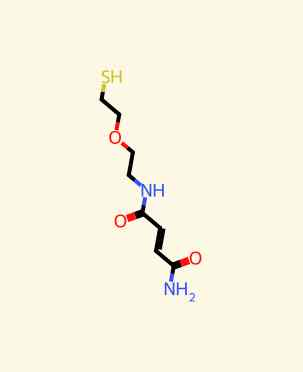 NC(=O)/C=C/C(=O)NCCOCCS